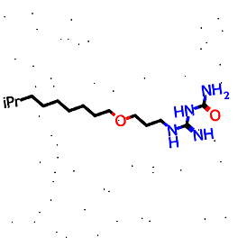 CC(C)CCCCCCCOCCCNC(=N)NC(N)=O